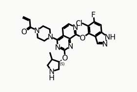 C=CC(=O)N1CCN(c2nc(O[C@@H]3CNCC3C)nc3c(Oc4c(Cl)c(F)cc5[nH]ncc45)nccc23)CC1